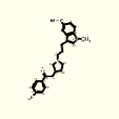 COc1ccc2c(c1)c(CCCN1CCC(CC(=O)c3ccc(F)cc3)C1)cn2C